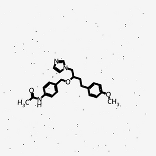 COc1ccc(CCC(Cn2ccnc2)OCc2ccc(NC(C)=O)cc2)cc1